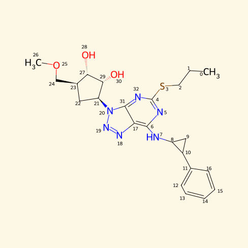 CCCSc1nc(NC2CC2c2ccccc2)c2nnn([C@H]3C[C@@H](COC)[C@H](O)[C@@H]3O)c2n1